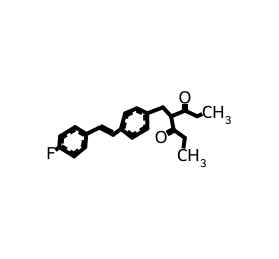 CCC(=O)C(Cc1ccc(/C=C/c2ccc(F)cc2)cc1)C(=O)CC